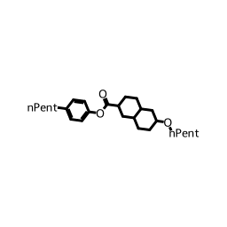 CCCCCOC1CCC2CC(C(=O)Oc3ccc(CCCCC)cc3)CCC2C1